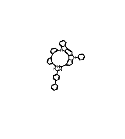 c1ccc(-c2ccc(-c3nc4nc(n3)c3ccc5c(c3)c3cc6c(cc3n5-c3ccccc3)c3ccccc3n6c3cccc(c3)c3cccc4c3)cc2)cc1